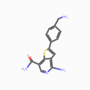 NCc1ccc(-c2cc3c(N)ncc(C(N)=O)c3s2)cc1